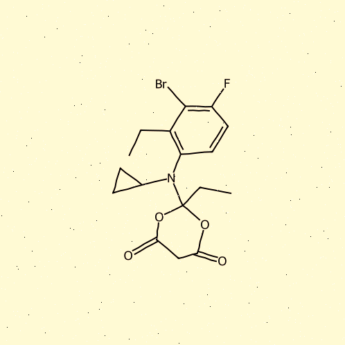 CCc1c(N(C2CC2)C2(CC)OC(=O)CC(=O)O2)ccc(F)c1Br